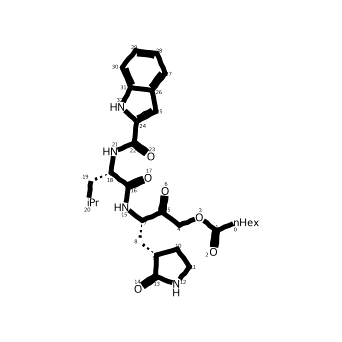 CCCCCCC(=O)OCC(=O)[C@H](C[C@@H]1CCNC1=O)NC(=O)[C@H](CC(C)C)NC(=O)c1cc2ccccc2[nH]1